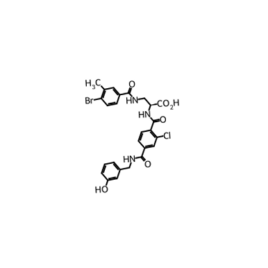 Cc1cc(C(=O)NC[C@H](NC(=O)c2ccc(C(=O)NCc3cccc(O)c3)cc2Cl)C(=O)O)ccc1Br